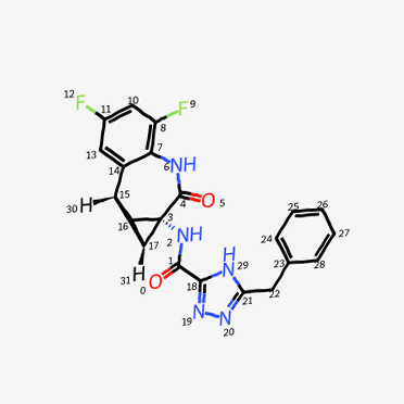 O=C(N[C@@]12C(=O)Nc3c(F)cc(F)cc3[C@@H]3C1[C@@H]32)c1nnc(Cc2ccccc2)[nH]1